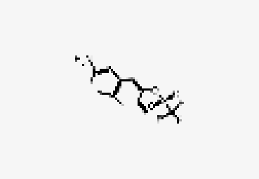 C=C/C(=C\C(/C=C(\C)N)=C(C)C)OS(=O)(=O)C(F)(F)F